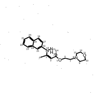 C/C(=C/C(I)OCCN1CCOCC1)N(N)c1ccc2ccccc2c1